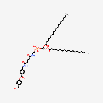 CCCCCCCCCCCCCCCCCC(=O)OC[C@H](COP(=O)(O)OCCNC(=O)CCCC(=O)NCc1ccc(C(=O)Oc2ccc(CO)cc2)cc1)OC(=O)CCCCCCCCCCCCCCCCC